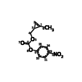 CC1=CC1COC(=O)Oc1ccc([N+](=O)[O-])cc1